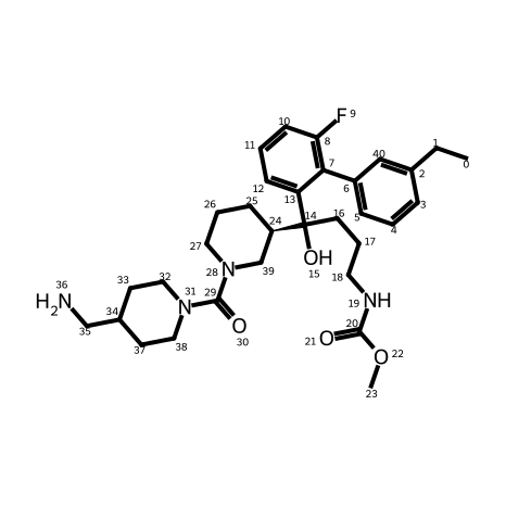 CCc1cccc(-c2c(F)cccc2C(O)(CCCNC(=O)OC)[C@@H]2CCCN(C(=O)N3CCC(CN)CC3)C2)c1